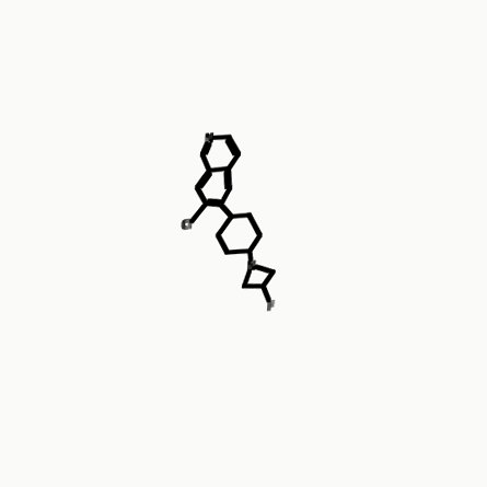 FC1CN(C2CCC(c3cc4ccncc4cc3Cl)CC2)C1